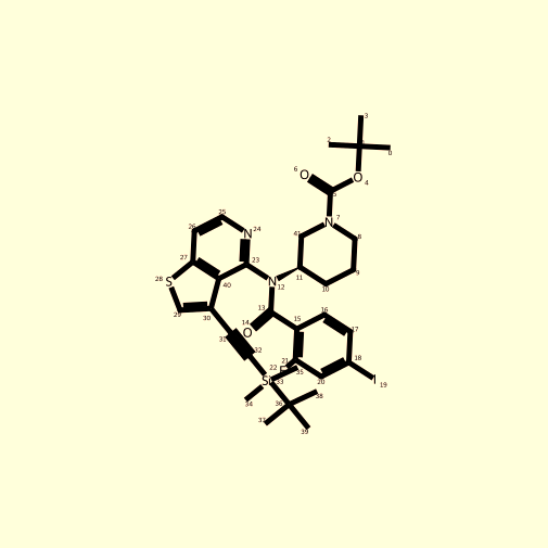 CC(C)(C)OC(=O)N1CCC[C@@H](N(C(=O)c2ccc(I)cc2F)c2nccc3scc(C#C[Si](C)(C)C(C)(C)C)c23)C1